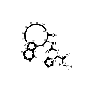 O=C(C[C@H](C(=O)NO)n1cccc1)N[C@H]1Cc2cn(c3ccccc23)CCCCCCNC1=O